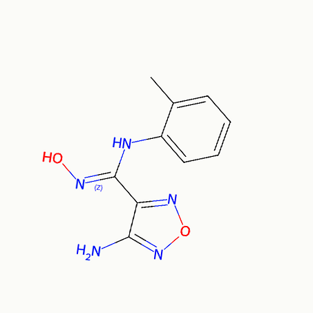 Cc1ccccc1N/C(=N\O)c1nonc1N